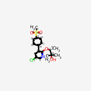 C[C@@H](Oc1ncc(Cl)cc1-c1ccc(S(C)(=O)=O)cc1)C(C)(C)O